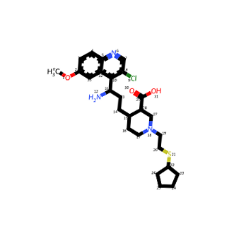 COc1ccc2ncc(Cl)c(C(N)CCC3CCN(CCSC4CCCC4)CC3C(=O)O)c2c1